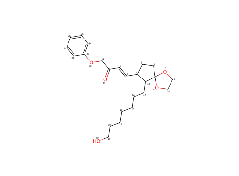 O=C(C=CC1CCC2(OCCO2)C1CCCCCCCO)COc1ccccc1